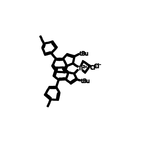 Cc1ccc(-c2cccc3c2C=C(C(C)(C)C)[CH]3[Ti+2]2([CH]3C(C(C)(C)C)=Cc4c(-c5ccc(C)cc5)cccc43)[CH2]C[CH2]2)cc1.[Cl-].[Cl-]